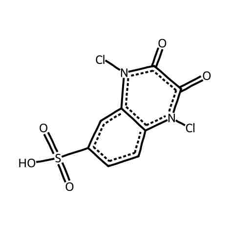 O=c1c(=O)n(Cl)c2cc(S(=O)(=O)O)ccc2n1Cl